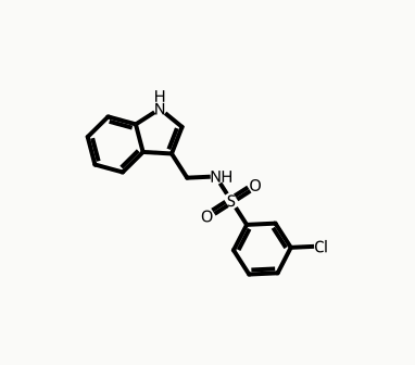 O=S(=O)(NCc1c[nH]c2ccccc12)c1cccc(Cl)c1